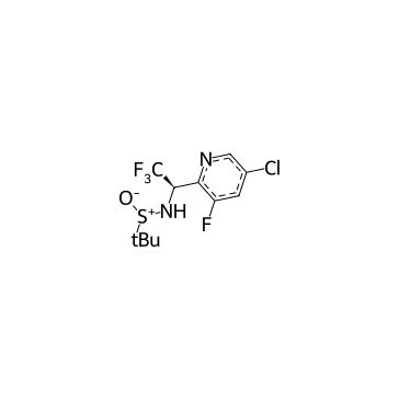 CC(C)(C)[S+]([O-])N[C@H](c1ncc(Cl)cc1F)C(F)(F)F